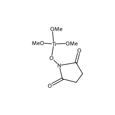 C[O][Ti]([O]C)([O]C)[O]N1C(=O)CCC1=O